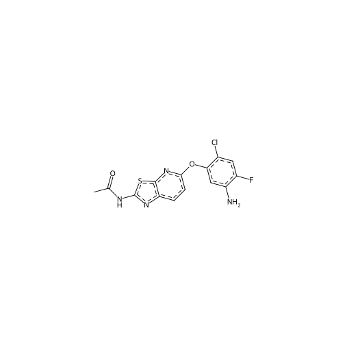 CC(=O)Nc1nc2ccc(Oc3cc(N)c(F)cc3Cl)nc2s1